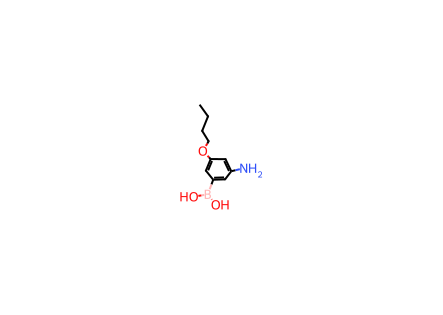 CCCCOc1cc(N)cc(B(O)O)c1